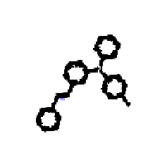 Cc1ccc(N(c2ccccc2)c2cccc(/C=C/c3ccccc3)c2)cc1